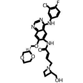 O=C(C=CCN1CCC1CO)Nc1cc2c(Nc3ccc(F)c(Cl)c3)ncnc2cc1OC[C@H]1COCCO1